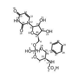 O=C(O)N[C@H]1CO[PH](O)(OC[C@H]2OC(n3ccc(=O)[nH]c3=O)C(O)C2O)O[C@@H]1c1ccccc1